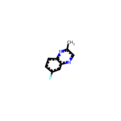 Cc1[c]nc2cc(F)ccc2n1